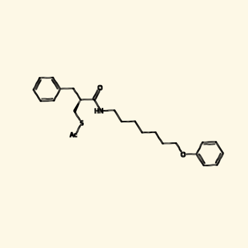 CC(=O)SC[C@@H](Cc1ccccc1)C(=O)NCCCCCCCOc1ccccc1